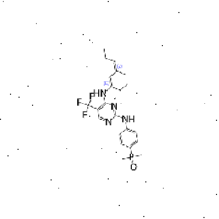 CC/C=C(C)\C=C(/CC)Nc1nc(Nc2ccc(P(C)(C)=O)cc2)ncc1C(F)(F)F